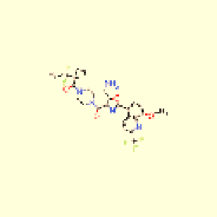 COc1ccc(-c2nc(C(=O)N3CCN(C(=O)C4(C(C)(F)F)CCC4)CC3)c(CN)o2)c2ccc(C(F)(F)F)nc12